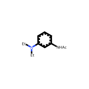 CCN(CC)c1cc[c]c(NC(C)=O)c1